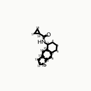 O=C(NC1CCCc2cc3sccc3cc21)C1CC1